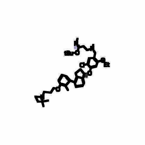 CCOc1cc(O[C@H]2CCc3c(-c4cccc(OCCCN5CCC5(C)C)c4C)cccc32)c(Cl)cc1CN(C)CC/C(=N\C)OC(C)(C)C